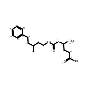 CC(CCOC(=O)NC(CCC(N)=O)C(=O)O)CCc1ccccc1